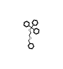 c1ccc(COCCOC(c2ccccc2)(c2ccccc2)c2ccccc2)cc1